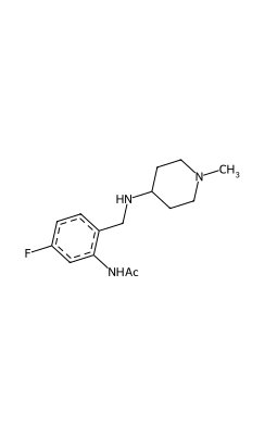 CC(=O)Nc1cc(F)ccc1CNC1CCN(C)CC1